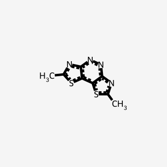 Cc1nc2nnc3nc(C)sc3c2s1